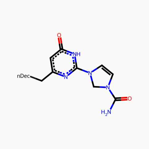 CCCCCCCCCCCc1cc(=O)[nH]c(N2C=CN(C(N)=O)C2)n1